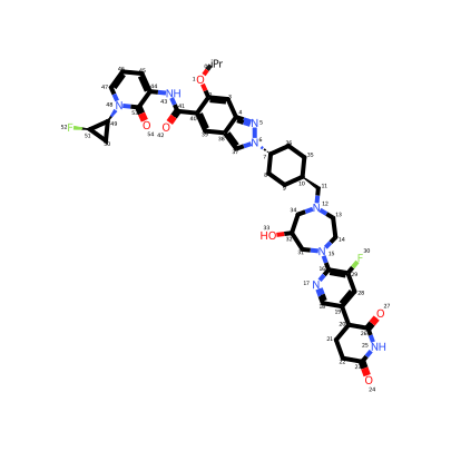 CC(C)Oc1cc2nn([C@H]3CC[C@H](CN4CCN(c5ncc(C6CCC(=O)NC6=O)cc5F)CC(O)C4)CC3)cc2cc1C(=O)Nc1cccn([C@H]2C[C@H]2F)c1=O